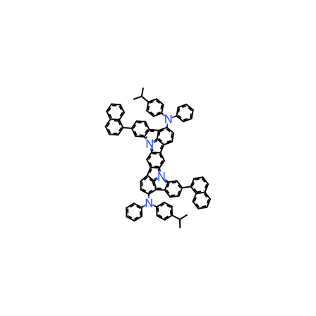 CC(C)c1ccc(N(c2ccccc2)c2ccc3c4cc5c(cc4n4c6cc(-c7cccc8ccccc78)ccc6c2c34)c2ccc(N(c3ccccc3)c3ccc(C(C)C)cc3)c3c4ccc(-c6cccc7ccccc67)cc4n5c23)cc1